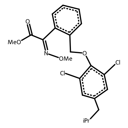 CO/N=C(/C(=O)OC)c1ccccc1COc1c(Cl)cc(CC(C)C)cc1Cl